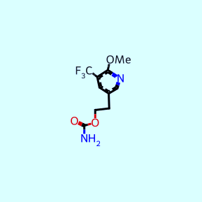 COc1ncc(CCOC(N)=O)cc1C(F)(F)F